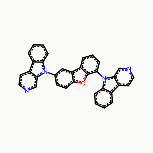 c1cc(-n2c3ccccc3c3ccncc32)c2oc3ccc(-n4c5ccccc5c5ccncc54)cc3c2c1